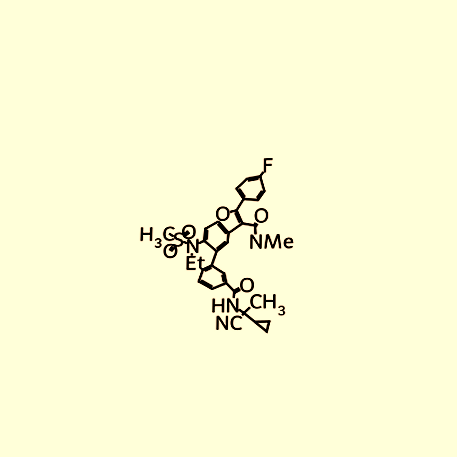 CCN(c1cc2oc(-c3ccc(F)cc3)c(C(=O)NC)c2cc1-c1cccc(C(=O)NC(C)(C#N)C2CC2)c1)S(C)(=O)=O